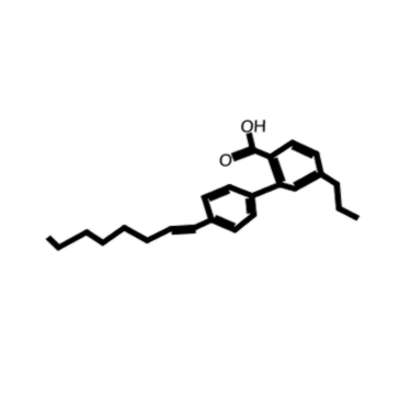 CCCCCCC=Cc1ccc(-c2cc(CCC)ccc2C(=O)O)cc1